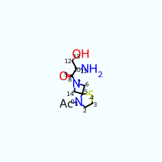 CC(=O)N1CCSC12CN(C(=O)[C@@H](N)CO)C2